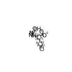 COC(=O)c1cc(-c2ccc(Cl)cc2)cc(-n2cnnc2CO)c1